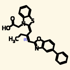 CC/C(C=C1Sc2ccccc2N1CC(=O)O)=C/c1nc2cc(-c3ccccc3)ccc2o1